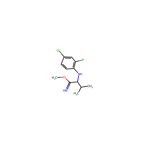 COC(=N)C(Nc1ccc(Cl)cc1F)C(C)C